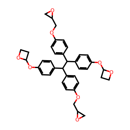 c1cc(C(c2ccc(OC3CCO3)cc2)C(c2ccc(OCC3CO3)cc2)c2ccc(OC3CCO3)cc2)ccc1OCC1CO1